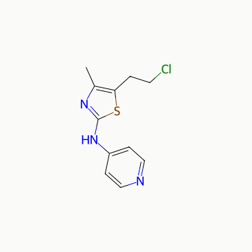 Cc1nc(Nc2ccncc2)sc1CCCl